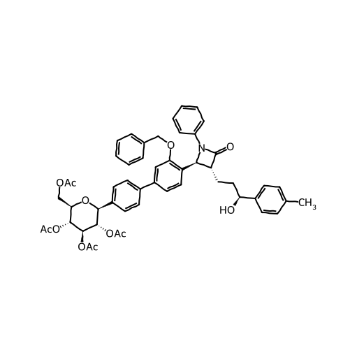 CC(=O)OC[C@H]1O[C@@H](c2ccc(-c3ccc([C@@H]4[C@@H](CC[C@H](O)c5ccc(C)cc5)C(=O)N4c4ccccc4)c(OCc4ccccc4)c3)cc2)[C@H](OC(C)=O)[C@@H](OC(C)=O)[C@@H]1OC(C)=O